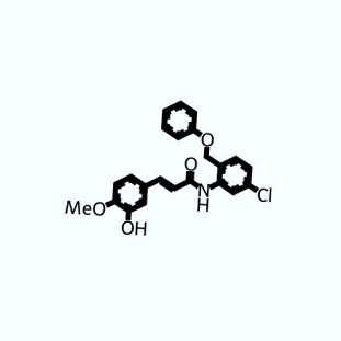 COc1ccc(C=CC(=O)Nc2cc(Cl)ccc2COc2ccccc2)cc1O